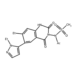 CCc1cc2[nH]c(=O)n(N(C(C)=O)S(C)(=O)=O)c(=O)c2cc1-c1ccnn1CC